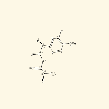 COc1ccc([C@H](C(C)C)[C@H](C)OC(=O)[C@H](C)N)cc1F